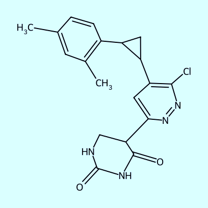 Cc1ccc(C2CC2c2cc(C3CNC(=O)NC3=O)nnc2Cl)c(C)c1